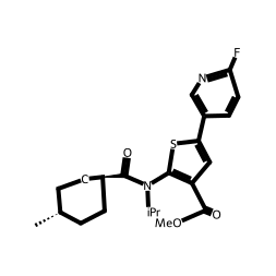 COC(=O)c1cc(-c2ccc(F)nc2)sc1N(C(=O)[C@H]1CC[C@H](C)CC1)C(C)C